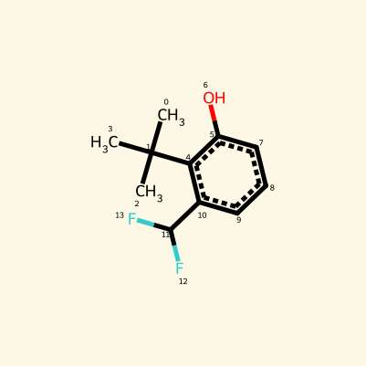 CC(C)(C)c1c(O)cccc1C(F)F